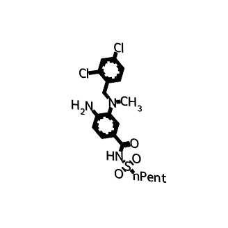 CCCCCS(=O)(=O)NC(=O)c1ccc(N)c(N(C)Cc2ccc(Cl)cc2Cl)c1